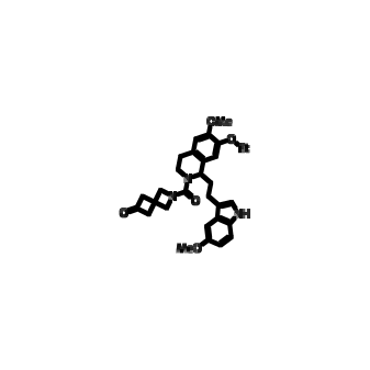 CCOc1cc2c(cc1OC)CCN(C(=O)N1CC3(CC(=O)C3)C1)C2CCc1c[nH]c2ccc(OC)cc12